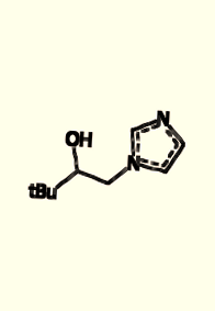 CC(C)(C)C(O)Cn1ccnc1